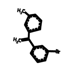 C=C(c1cccc(C)c1)c1cccc(Br)c1